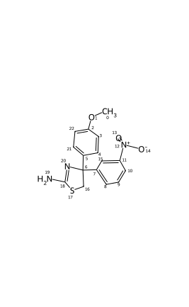 COc1ccc(C2(c3cccc([N+](=O)[O-])c3)CSC(N)=N2)cc1